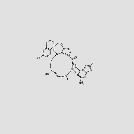 C[C@H]1C/C=C/[C@H](O)CCCN2C[C@@]3(CCCc4cc(Cl)ccc43)COc3ccc(cc32)C(=O)N=S(=O)(Nc2nc(N)nc3nn(C)cc23)C1